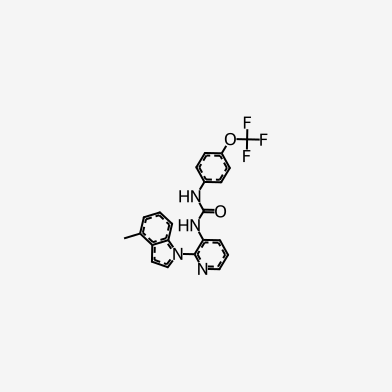 Cc1cccc2c1ccn2-c1ncccc1NC(=O)Nc1ccc(OC(F)(F)F)cc1